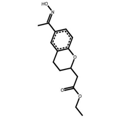 CCOC(=O)CC1CCc2cc(/C(C)=N/O)ccc2O1